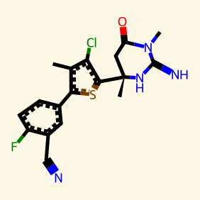 Cc1c(-c2ccc(F)c(C#N)c2)sc([C@]2(C)CC(=O)N(C)C(=N)N2)c1Cl